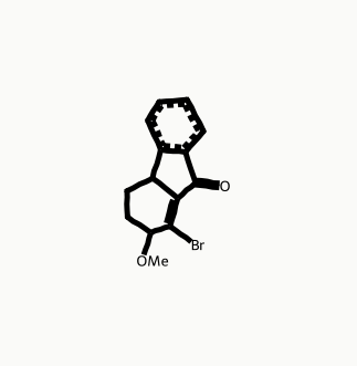 COC1CCC2C(=C1Br)C(=O)c1ccccc12